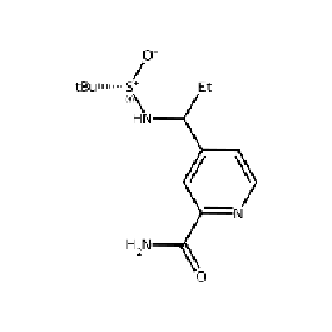 CCC(N[S@@+]([O-])C(C)(C)C)c1ccnc(C(N)=O)c1